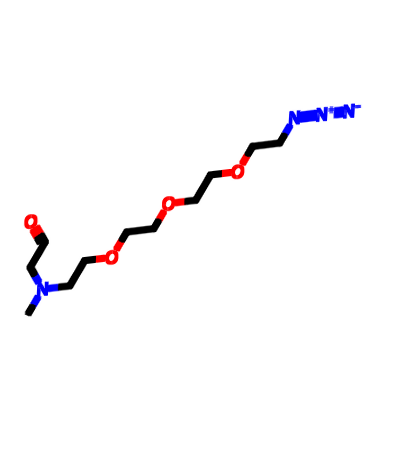 CN(CC=O)CCOCCOCCOCCN=[N+]=[N-]